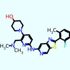 Cc1cccc(F)c1-c1nc2cc(Nc3ccc(N4CCC(O)CC4)c(CN(C)C)n3)ncc2s1